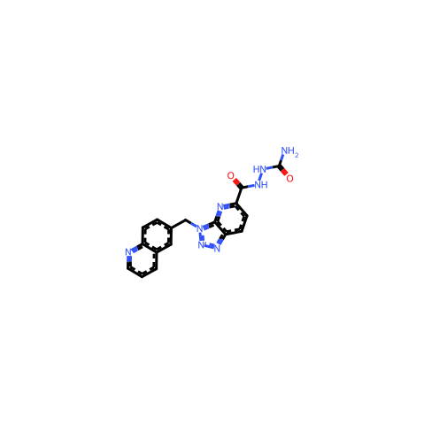 NC(=O)NNC(=O)c1ccc2nnn(Cc3ccc4ncccc4c3)c2n1